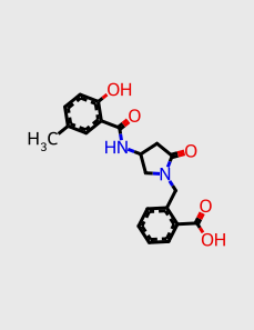 Cc1ccc(O)c(C(=O)NC2CC(=O)N(Cc3ccccc3C(=O)O)C2)c1